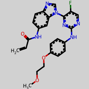 C=CC(=O)Nc1ccc2ncn(-c3nc(Nc4ccc(OCCOC)cc4)ncc3F)c2c1